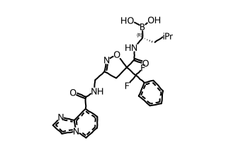 CC(C)C[C@H](NC(=O)C1(C(F)(F)c2ccccc2)CC(CNC(=O)c2cccn3ccnc23)=NO1)B(O)O